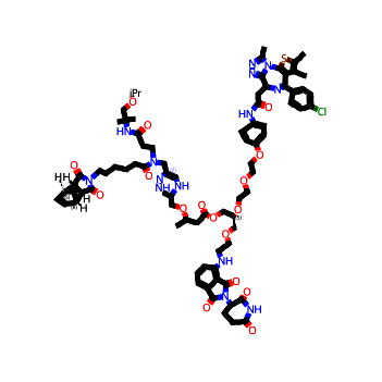 Cc1sc2c(c1C)C(c1ccc(Cl)cc1)=NC(CC(=O)Nc1ccc(OCCOCCO[C@@H](COCCNc3cccc4c3C(=O)N(C3CCC(=O)NC3=O)C4=O)COC(=O)CC(C)OCC(C)N/C=C(/CN(CCC(=O)NC(C)(C)COC(C)C)C(=O)CCCCCN3C(=O)[C@@H]4[C@H](C3=O)[C@H]3C=C[C@@H]4C3)N=N)cc1)c1nnc(C)n1-2